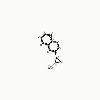 CC[C@H]1C[C@@H]1c1ccc2ncccc2c1